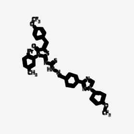 Cc1ccc(C(C)C)c(N2C(=O)/C(=C\c3ccc(OC(F)(F)F)cc3)S/C2=N\C(=S)N/N=C/c2ccc(-c3ncn(-c4ccc(OC(F)(F)F)cc4)n3)cc2)c1